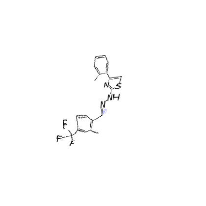 Cc1cc(C(F)(F)F)ccc1/C=N/Nc1nc(-c2ccccc2C)cs1